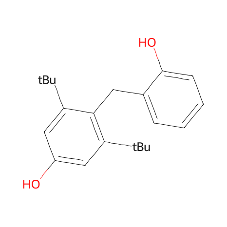 CC(C)(C)c1cc(O)cc(C(C)(C)C)c1Cc1ccccc1O